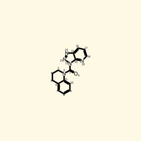 O=C(N1CCCc2ccccc21)n1nnc2cccnc21